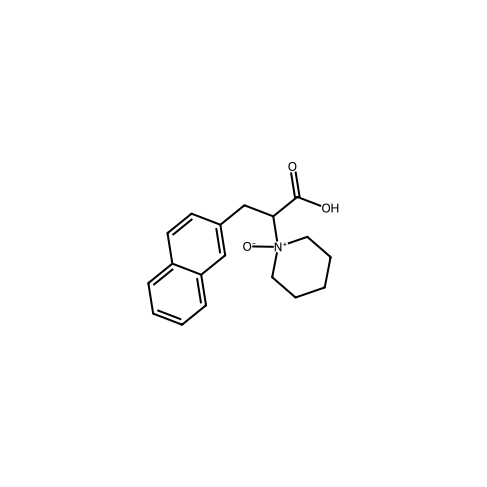 O=C(O)C(Cc1ccc2ccccc2c1)[N+]1([O-])CCCCC1